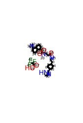 CN(CCc1ccc(C2=NCCN2)cc1)C(=O)CCN(C)S(=O)(=O)c1cccc2c(N(C)C)cccc12.O=C(O)C(F)(F)F